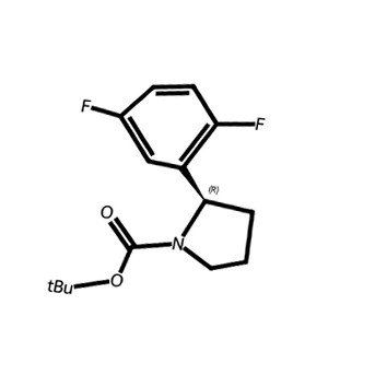 CC(C)(C)OC(=O)N1CCC[C@@H]1c1cc(F)ccc1F